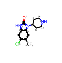 O=c1[nH]c2cc(Cl)c(C(F)(F)F)cc2n1C1CCNCC1